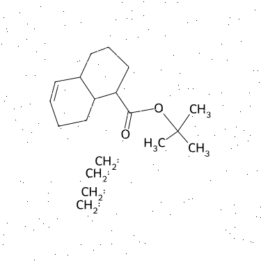 CC(C)(C)OC(=O)C1CCCC2C=CCCC21.[CH2].[CH2].[CH2].[CH2]